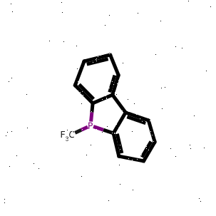 FC(F)(F)p1c2ccccc2c2ccccc21